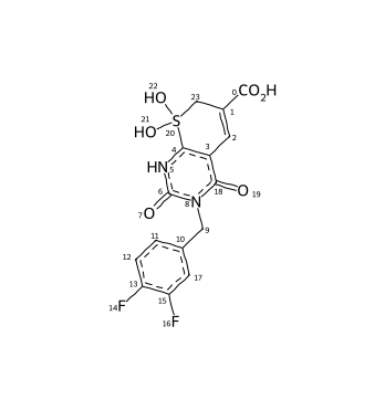 O=C(O)C1=Cc2c([nH]c(=O)n(Cc3ccc(F)c(F)c3)c2=O)S(O)(O)C1